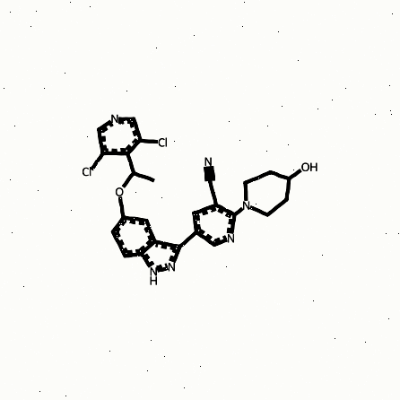 CC(Oc1ccc2[nH]nc(-c3cnc(N4CCC(O)CC4)c(C#N)c3)c2c1)c1c(Cl)cncc1Cl